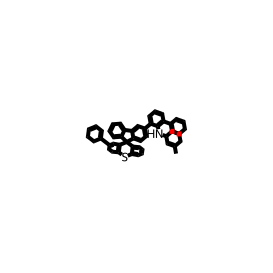 CC1=CC(Nc2c(C3=CCCC=C3)cccc2-c2ccc3c(c2)-c2ccccc2C32C3=C(CCC(C4=CC=CCC4)=C3)Sc3ccccc32)CCC1